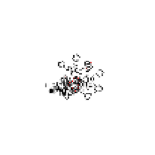 CC(C)(C)[Si](C)(C)Oc1c2c(C(=O)C(O)[C@H]3O[C@@H](OCc4ccccc4[N+](=O)[O-])[C@@](O)(C(=O)c4cc(OCc5ccccc5)c(OCc5ccccc5)c(OCc5ccccc5)c4)[C@](O)(C(=O)c4cc(OCc5ccccc5)c(OCc5ccccc5)c(OCc5ccccc5)c4)[C@@]3(O)C(=O)c3c4c(O[Si](C)(C)C(C)(C)C)c(-c5ccccc5)c(-c5ccccc5)c3OCO4)c(c(-c3ccccc3)c1-c1ccccc1)OCO2